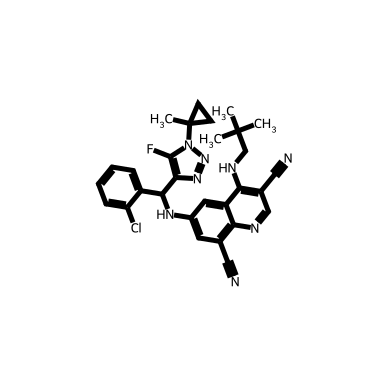 CC(C)(C)CNc1c(C#N)cnc2c(C#N)cc(NC(c3ccccc3Cl)c3nnn(C4(C)CC4)c3F)cc12